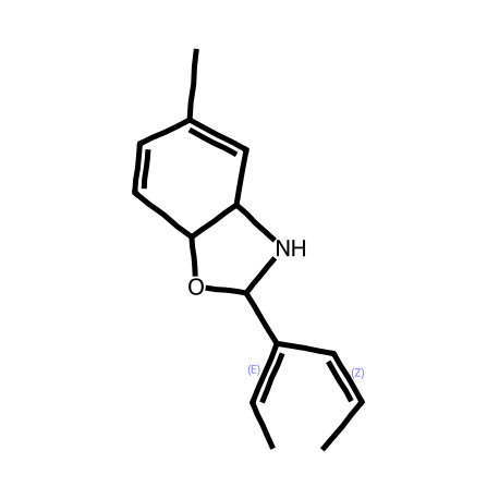 C/C=C\C(=C/C)C1NC2C=C(C)C=CC2O1